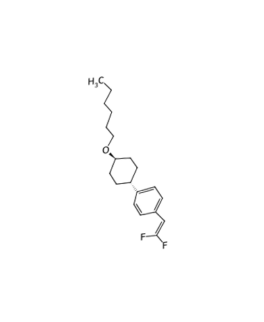 CCCCCCO[C@H]1CC[C@H](c2ccc(C=C(F)F)cc2)CC1